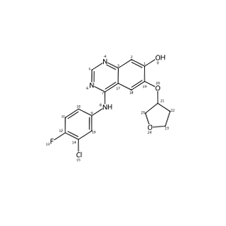 Oc1cc2ncnc(Nc3ccc(F)c(Cl)c3)c2cc1OC1CCOC1